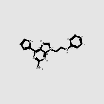 Nc1nc(-c2ccco2)c2ncn(CCOc3ccccc3)c2n1